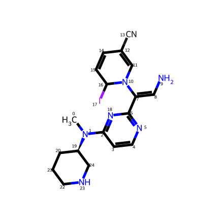 CN(c1ccnc(/C(=C/N)N2C=C(C#N)C=CC2I)n1)[C@@H]1CCCNC1